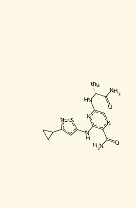 CC(C)(C)[C@@H](Nc1cnc(C(N)=O)c(Nc2cc(C3CC3)ns2)n1)C(N)=O